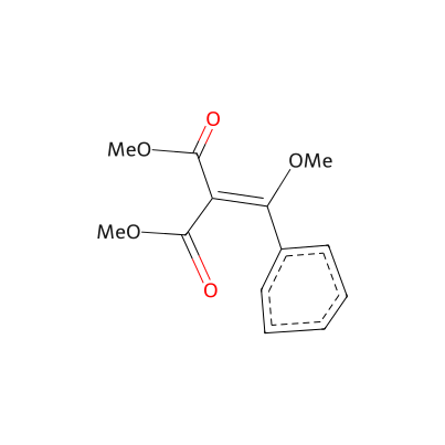 COC(=O)C(C(=O)OC)=C(OC)c1ccccc1